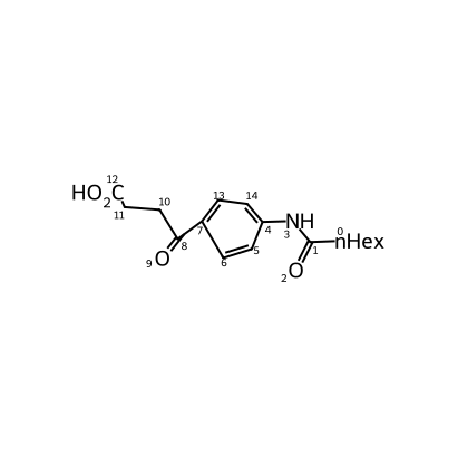 CCCCCCC(=O)Nc1ccc(C(=O)CCC(=O)O)cc1